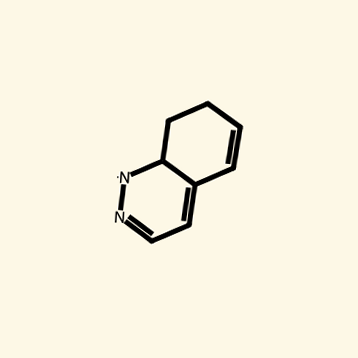 C1=CC2=CC=N[N]C2CC1